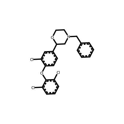 Clc1cc(C2CN(Cc3ccccc3)CCO2)ccc1Oc1c(Cl)cccc1Cl